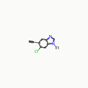 C#Cc1cc2ncn(CC)c2cc1Cl